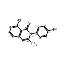 O=c1c2c(Cl)nccc2cc(C(F)(F)F)n1-c1ccc(F)cc1